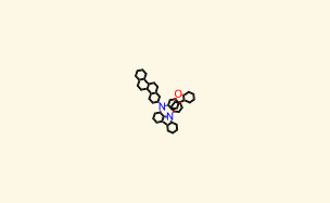 c1ccc(-n2c3ccccc3c3cccc(N(c4ccc5c(ccc6c7ccccc7ccc56)c4)c4ccc5c(c4)oc4ccccc45)c32)cc1